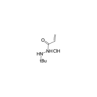 C=CC(=O)NNC(C)(C)C.Cl